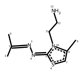 CC(C)=NN=c1scc(C)n1CCN